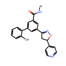 CC(C)NC(=O)c1cc(C2=NOC(c3ccncc3)C2)cc(-c2ccccc2C#N)c1